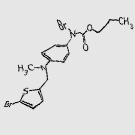 CCCOC(=O)N(Br)c1ccc(N(C)Cc2ccc(Br)s2)cc1